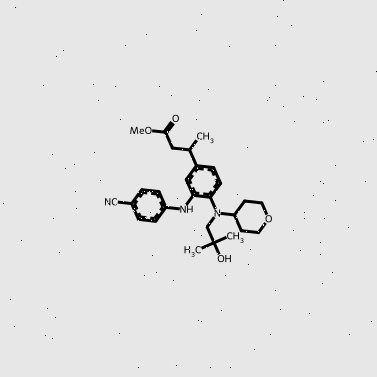 COC(=O)CC(C)c1ccc(N(CC(C)(C)O)C2CCOCC2)c(Nc2ccc(C#N)cc2)c1